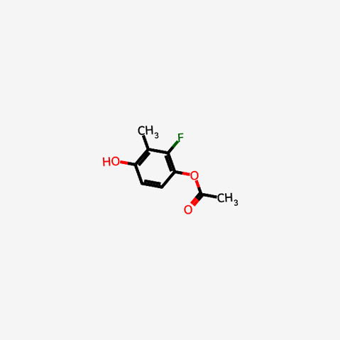 CC(=O)Oc1ccc(O)c(C)c1F